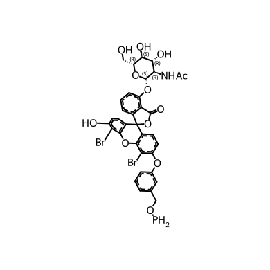 CC(=O)N[C@H]1[C@H](Oc2cccc3c2C(=O)OC32c3ccc(O)c(Br)c3Oc3c2ccc(Oc2cccc(COP)c2)c3Br)O[C@H](CO)[C@@H](O)[C@@H]1O